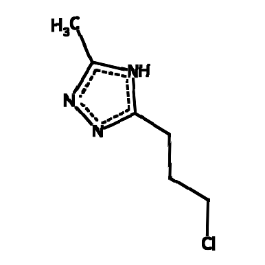 Cc1nnc(CCCCl)[nH]1